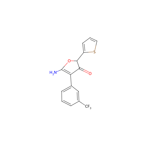 NC1=C(c2cccc(C(F)(F)F)c2)C(=O)C(c2cccs2)O1